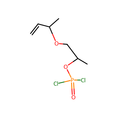 C=CC(C)OCC(C)OP(=O)(Cl)Cl